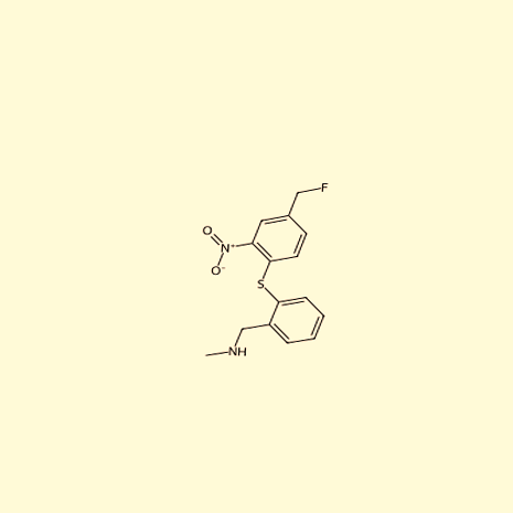 CNCc1ccccc1Sc1ccc(CF)cc1[N+](=O)[O-]